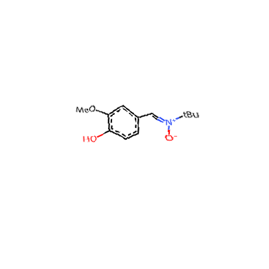 COc1cc(/C=[N+](\[O-])C(C)(C)C)ccc1O